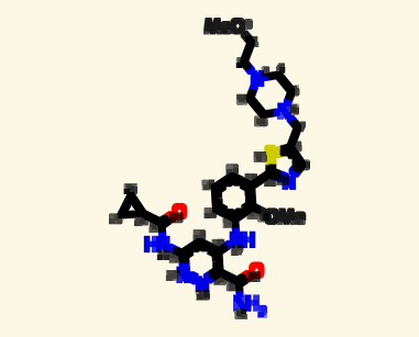 COCCN1CCN(Cc2cnc(-c3cccc(Nc4cc(NC(=O)C5CC5)nnc4C(N)=O)c3OC)s2)CC1